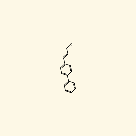 ClCC=Cc1ccc(-c2ccccc2)cc1